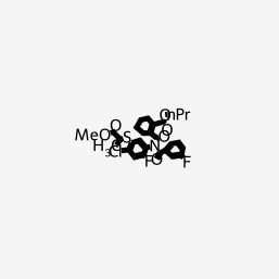 CCCOC(=O)C1=C(C(=O)N(C(=O)c2cccc(F)c2)c2cc(SC(C)C(=O)OC)c(Cl)cc2F)CCCC1